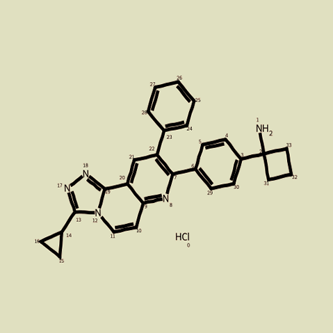 Cl.NC1(c2ccc(-c3nc4ccn5c(C6CC6)nnc5c4cc3-c3ccccc3)cc2)CCC1